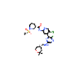 CC(C)S(=O)(=O)N1CCC[C@H](C(=O)Nc2cc(-c3nc(NC[C@H]4CCOC(C)(C)C4)cnc3Cl)c(Cl)cn2)C1